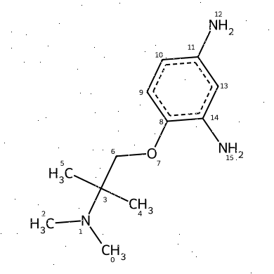 CN(C)C(C)(C)COc1ccc(N)cc1N